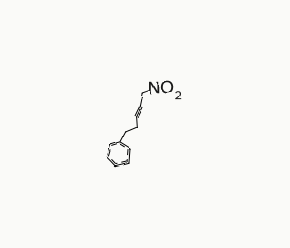 O=[N+]([O-])CC#CCCc1ccccc1